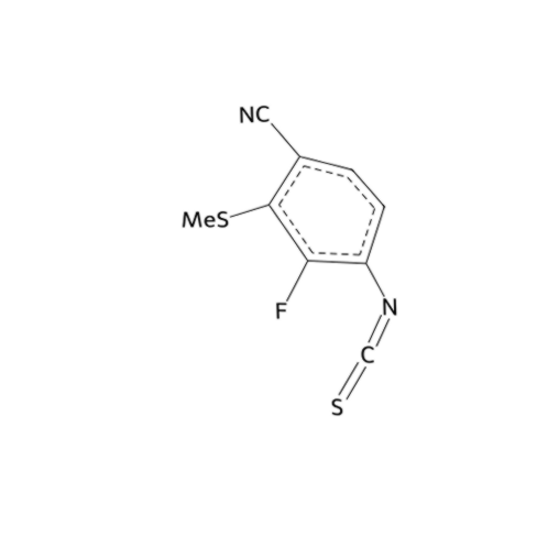 CSc1c(C#N)ccc(N=C=S)c1F